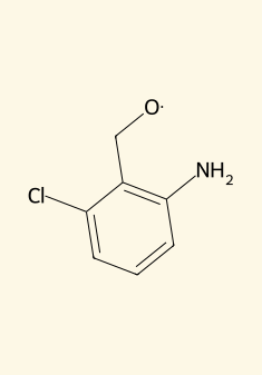 Nc1cccc(Cl)c1C[O]